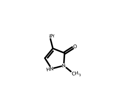 CC(C)c1c[nH]n(C)c1=O